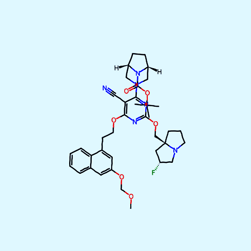 COCOc1cc(CCOc2nc(OC[C@@]34CCCN3C[C@H](F)C4)nc(N3C[C@H]4CC[C@@H](C3)N4C(=O)OC(C)(C)C)c2C#N)c2ccccc2c1